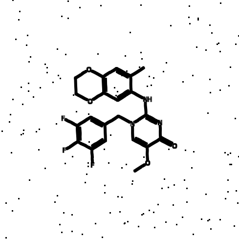 COc1cn(Cc2cc(F)c(F)c(F)c2)c(Nc2cc3c(cc2C)OCCO3)nc1=O